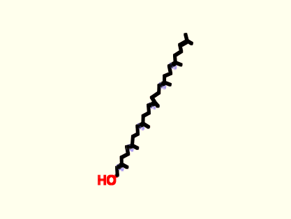 CC(C)=CCC/C(C)=C/CC/C(C)=C/CC/C(C)=C/CC/C(C)=C/CC/C(C)=C/CC/C(C)=C/CO